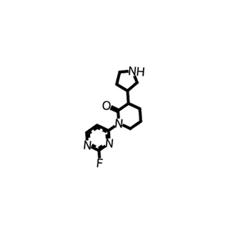 O=C1C(C2CCNC2)CCCN1c1ccnc(F)n1